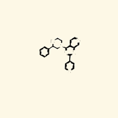 c1ccc(C2CN(c3nc(-c4ccncc4)nc4cnccc34)CCN2)cc1